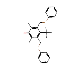 Cc1c(O)c(C)c(CSc2ccccc2)c(C(C)(C)C)c1CSc1ccccc1